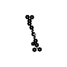 C(=C\c1ccc(/C=C/c2ccc3c(c2)C2(CCCC2)c2cc(N(c4ccccc4)c4ccccc4)ccc2-3)nc1)/c1ccc(-c2ccc3cc(-c4ccccc4)c(-c4ccccc4)cc3c2)cc1